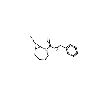 O=C(OCc1ccccc1)N1CCCCC2C(F)C21